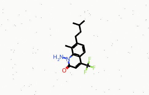 Cc1c(CCC(C)C)ccc2c(C(F)(F)F)cc(=O)n(N)c12